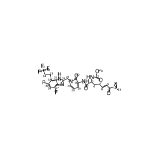 COC(=O)NC(CC/C=C/C(=O)N(C)C)C(=O)Nc1cccn(Cc2nc3c(F)cc(F)c(CCC(F)(F)F)c3[nH]2)c1=O